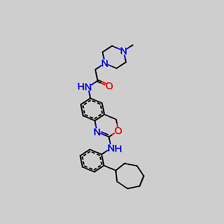 CN1CCN(CC(=O)Nc2ccc3c(c2)COC(Nc2ccccc2C2CCCCCC2)=N3)CC1